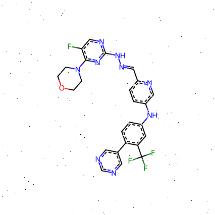 Fc1cnc(N/N=C/c2ccc(Nc3ccc(-c4cncnc4)c(C(F)(F)F)c3)cn2)nc1N1CCOCC1